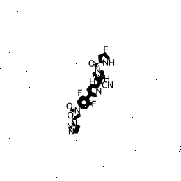 N#C[C@]1(c2ccc(-c3c(F)cc(N4CC(n5ccnn5)OC4=O)cc3F)cn2)[C@@H]2CN(C(=O)[C@@H]3C[C@H](F)CN3)C[C@@H]21